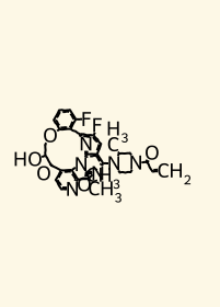 C=CC(=O)N1CCN(c2nc(=O)n3c4nc(c(F)cc24)-c2c(F)cccc2OCC(O)C(=O)c2ccnc(C(C)C)c2-3)[C@@H](C)C1